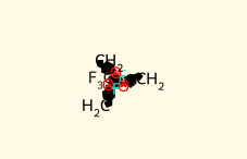 C=CC1=CCC(Oc2c(F)c(Oc3ccc(C=C)cc3)c(C(F)(F)F)c(Oc3ccc(C=C)cc3)c2F)C=C1